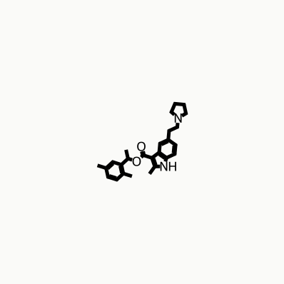 Cc1ccc(C)c(C(C)OC(=O)c2c(C)[nH]c3ccc(CCN4CCCC4)cc23)c1